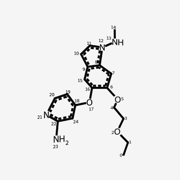 CCOCCOc1cc2c(ccn2NC)cc1Oc1ccnc(N)c1